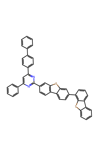 c1ccc(-c2ccc(-c3cc(-c4ccccc4)nc(-c4ccc5c(c4)sc4cc(-c6cccc7c6sc6ccccc67)ccc45)n3)cc2)cc1